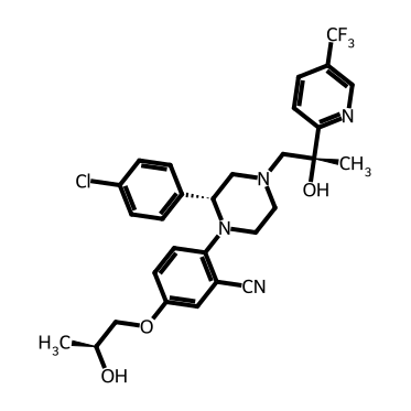 C[C@H](O)COc1ccc(N2CCN(C[C@@](C)(O)c3ccc(C(F)(F)F)cn3)C[C@H]2c2ccc(Cl)cc2)c(C#N)c1